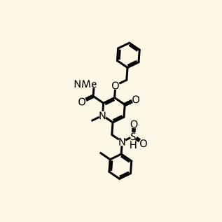 CNC(=O)c1c(OCc2ccccc2)c(=O)cc(CN(c2ccccc2C)[SH](=O)=O)n1C